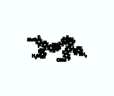 COc1cc(F)c(-c2cc(Cn3cnc4c(N)ncnc43)c(N3CCC[C@](N)([C@H](OC(=O)CCC(=O)O[C@H](C(F)F)[C@@]4(N)CCCN(c5cnc(-c6cc(F)c(OC)cc6F)cc5Cn5cnc6c(N)ncnc65)C4)C(F)F)C3)cn2)cc1F